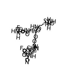 COC(=O)C1=C(COCc2cn(CCOCCOCCNC(=O)[C@H](CCCCNC(=O)c3ccc(C4(C(F)(F)F)NN4)cc3)NC(=O)CCCC[C@@H]3SC[C@@H]4NC(=O)N[C@@H]43)nn2)NC(c2ccncc2)=NC1c1ccc(F)cc1Cl